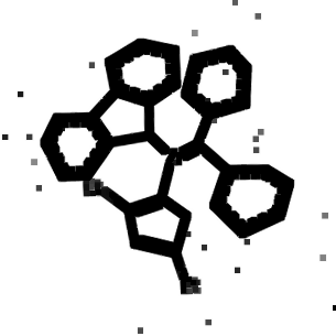 CCC1=CC(CC)=[C]([Zr](=[C](c2ccccc2)c2ccccc2)[CH]2c3ccccc3-c3ccccc32)C1